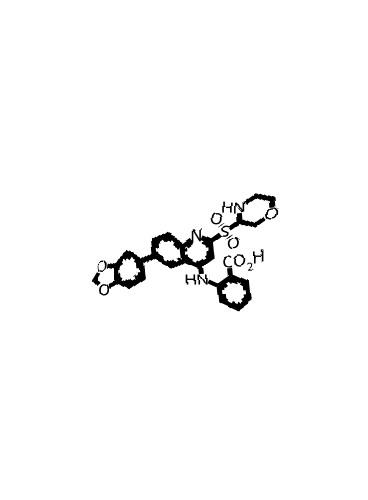 O=C(O)c1ccccc1Nc1cc(S(=O)(=O)C2COCCN2)nc2ccc(-c3ccc4c(c3)OCO4)cc12